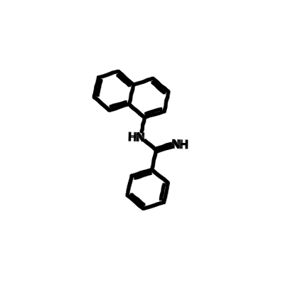 N=C(Nc1cccc2ccccc12)c1ccccc1